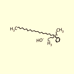 CCCCCCCCCCCCCCCCCCCC[N+](CCC)(CCC)c1ccccc1.[OH-]